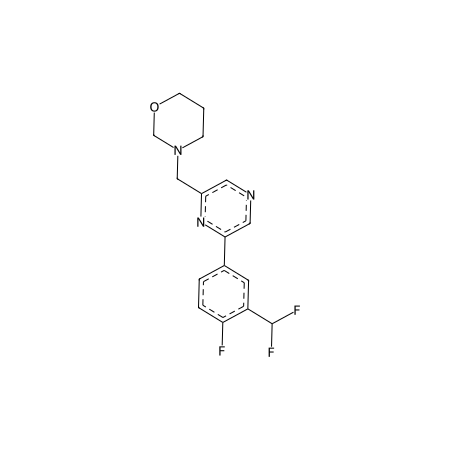 Fc1ccc(-c2cncc(CN3CCCOC3)n2)cc1C(F)F